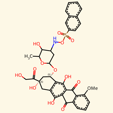 COc1cccc2c1C(=O)c1c(O)c3c(c(O)c1C2=O)C[C@@](O)(C(=O)CO)C[C@@H]3OC1CC(NOS(=O)(=O)c2ccc3ccccc3c2)C(O)C(C)O1